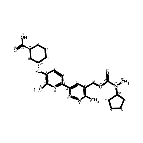 Cc1nnc(-c2ccc(O[C@H]3CCC[C@H](C(=O)O)C3)c(C)n2)cc1COC(=O)N(C)C1CCCC1